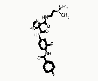 CN(C)CCNC(=O)c1nc[nH]c1C(=O)Nc1ccc(NC(=O)c2ccc(F)cc2)c(F)c1